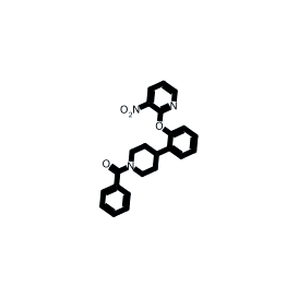 O=C(c1ccccc1)N1CCC(c2ccccc2Oc2ncccc2[N+](=O)[O-])CC1